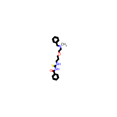 CN(CCOCCCNC(=S)NC(=O)c1ccccc1)Cc1ccccc1